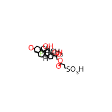 C[C@]12CCC(=O)C=C1CC[C@H]1[C@@H]3CC[C@](O)(C(=O)COC(=O)CCS(=O)(=O)O)[C@@]3(C)C[C@H](O)[C@@]12F